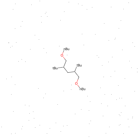 CCCCOCC(CC(COCCCC)C(C)(C)C)C(C)(C)C